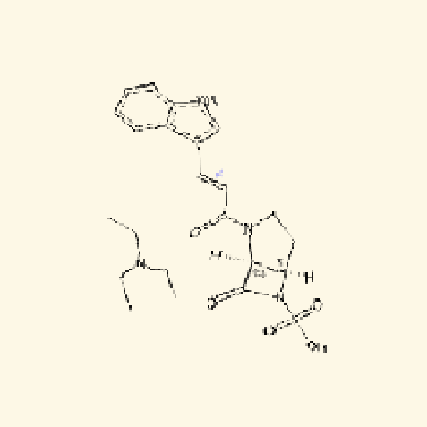 CCN(CC)CC.O=C(/C=C/c1c[nH]c2ccccc12)N1CC[C@@H]2[C@H]1C(=O)N2S(=O)(=O)O